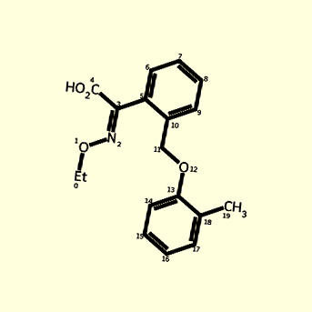 CCON=C(C(=O)O)c1ccccc1COc1ccccc1C